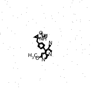 COc1cc2c(-c3ccc(CC4(N[SH](=O)=O)CC4)cc3)c(C#N)cnc2cn1